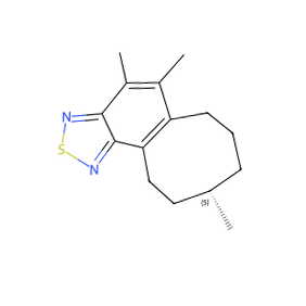 Cc1c2c(c3nsnc3c1C)CC[C@@H](C)CCC2